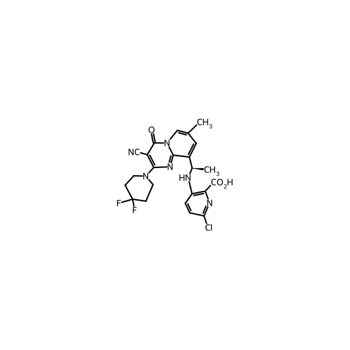 Cc1cc([C@@H](C)Nc2ccc(Cl)nc2C(=O)O)c2nc(N3CCC(F)(F)CC3)c(C#N)c(=O)n2c1